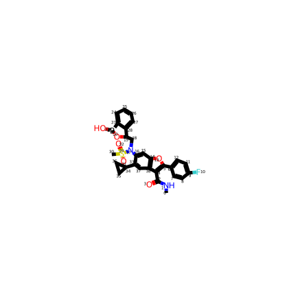 CNC(=O)c1c(-c2ccc(F)cc2)oc2cc(N(CC3OB(O)c4ccccc43)S(C)(=O)=O)c(C3CC3)cc12